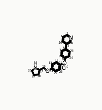 Cl.c1cncc(-c2ccc(Oc3ccc(OCC4CCCN4)cc3)cc2)c1